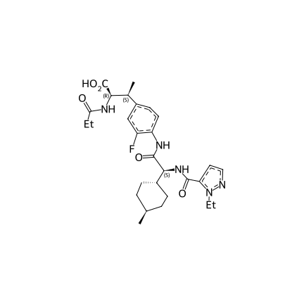 CCC(=O)N[C@@H](C(=O)O)[C@@H](C)c1ccc(NC(=O)[C@@H](NC(=O)c2ccnn2CC)[C@H]2CC[C@H](C)CC2)c(F)c1